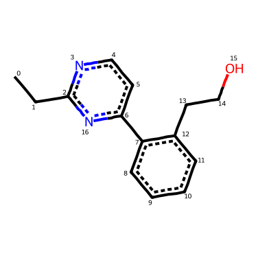 CCc1nccc(-c2ccccc2CCO)n1